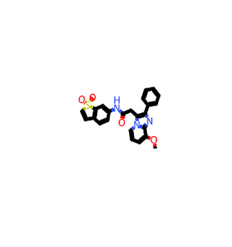 COc1cccn2c(CC(=O)Nc3ccc4c(c3)S(=O)(=O)C=C4)c(-c3ccccc3)nc12